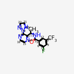 CC(NC(=O)c1cc(F)cc(C(F)(F)F)c1)c1nccnc1-n1nccn1